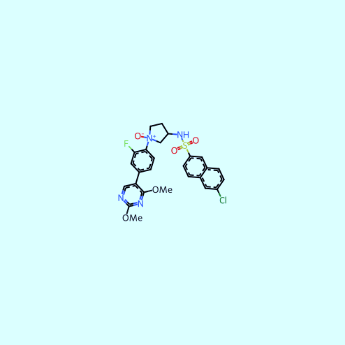 COc1ncc(-c2ccc([N+]3([O-])CCC(NS(=O)(=O)c4ccc5cc(Cl)ccc5c4)C3)c(F)c2)c(OC)n1